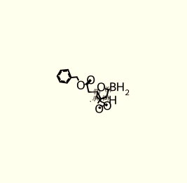 B[C@@H]1O[C@]2(CC(=O)OCc3ccccc3)C(C)[C@@H]1S(=O)(=O)[C@@H]2C